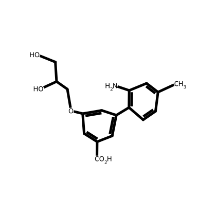 Cc1ccc(-c2cc(OCC(O)CO)cc(C(=O)O)c2)c(N)c1